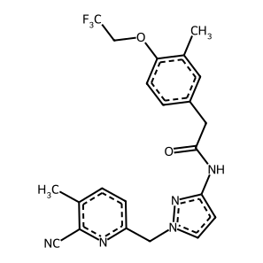 Cc1cc(CC(=O)Nc2ccn(Cc3ccc(C)c(C#N)n3)n2)ccc1OCC(F)(F)F